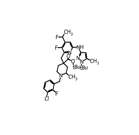 Cc1cc(Nc2cc(C(C)F)c(F)c(CC3(C(=O)OC(C)(C)C)CCN(Cc4cccc(Cl)c4F)C(C)C3)n2)nn1C(C)(C)C